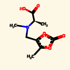 Cc1oc(=O)oc1CN(C)[C@@H](C)C(=O)O